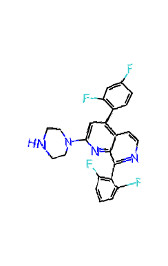 Fc1ccc(-c2cc(N3CCNCC3)nc3c(-c4c(F)cccc4F)nccc23)c(F)c1